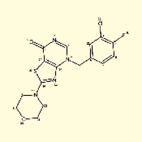 O=c1ncn(Cc2ccc(F)c(Cl)c2)c2nc(N3CCOCC3)sc12